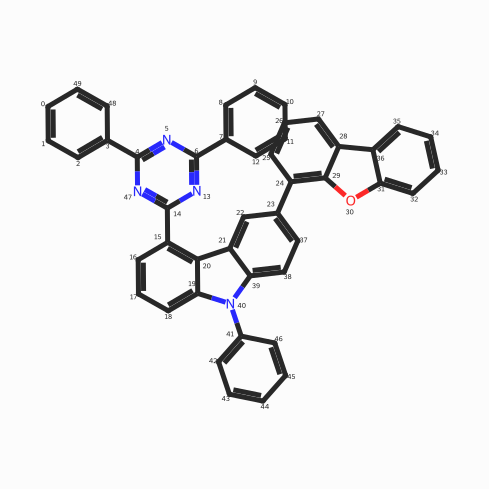 c1ccc(-c2nc(-c3ccccc3)nc(-c3cccc4c3c3cc(-c5cccc6c5oc5ccccc56)ccc3n4-c3ccccc3)n2)cc1